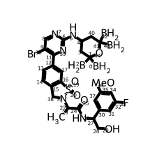 BC1(B)CC(Nc2ncc(Br)c(-c3ccc4c(c3)S(=O)(=O)N(C(C)C(=O)NC(CO)c3cc(F)cc(OC)c3)C4)n2)CC(B)(B)O1